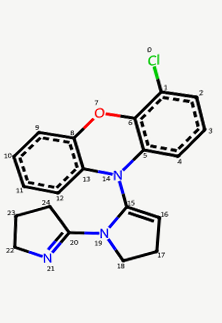 Clc1cccc2c1Oc1ccccc1N2C1=CCCN1C1=NCCC1